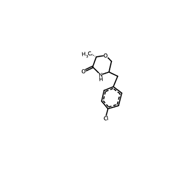 C[C@@H]1OCC(Cc2ccc(Cl)cc2)NC1=O